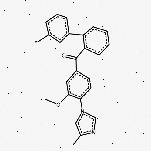 COc1cc(C(=O)c2ccccc2-c2cccc(F)c2)ccc1-n1cnc(C)c1